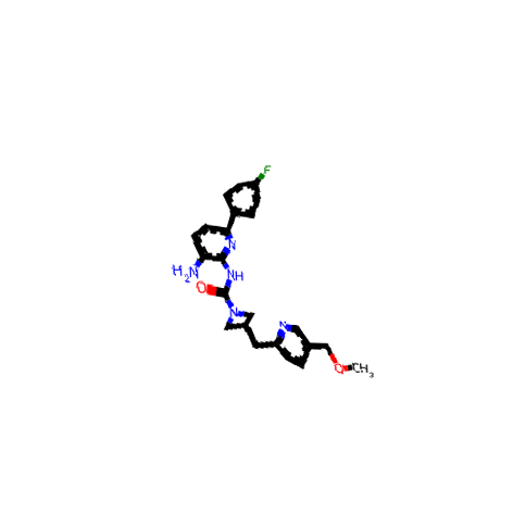 COCc1ccc(CC2CN(C(=O)Nc3nc(-c4ccc(F)cc4)ccc3N)C2)nc1